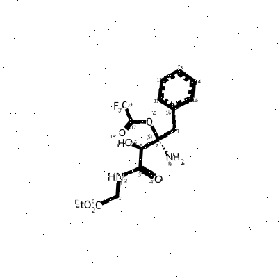 CCOC(=O)CNC(=O)C(O)[C@](N)(Cc1ccccc1)OC(=O)C(F)(F)F